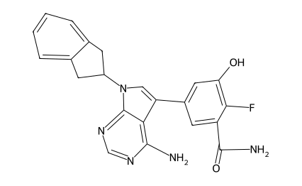 NC(=O)c1cc(-c2cn(C3Cc4ccccc4C3)c3ncnc(N)c23)cc(O)c1F